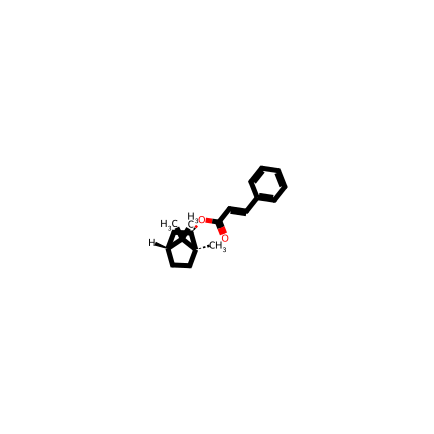 CC1(C)[C@@H]2CC[C@]1(C)[C@@H](OC(=O)/C=C/c1ccccc1)C2